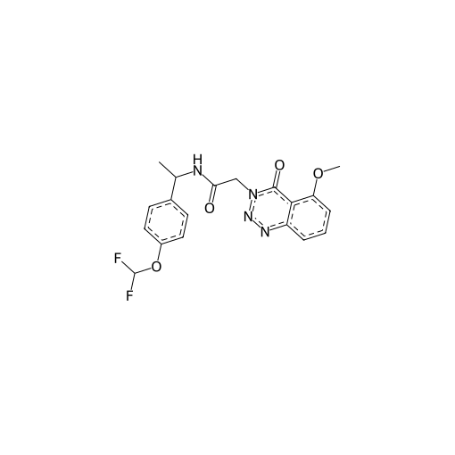 COc1cccc2nnn(CC(=O)NC(C)c3ccc(OC(F)F)cc3)c(=O)c12